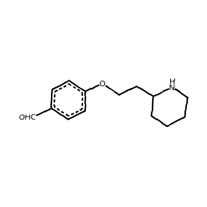 O=Cc1ccc(OCCC2CCCCN2)cc1